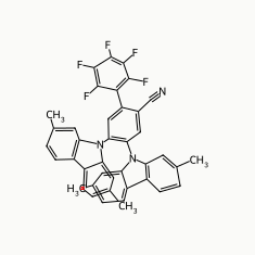 Cc1ccc2c3ccc(C)cc3n(-c3cc(C#N)c(-c4c(F)c(F)c(F)c(F)c4F)cc3-n3c4cc(C)ccc4c4ccc(C)cc43)c2c1